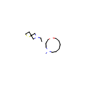 CN1CCCCCCOC[C@@H](CCN2CC3(CCS3)C2)C1